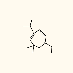 CCN1C=CC(C(C)C)=CC(C)(C)C1